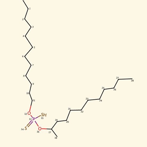 CCCCCCCCCCCCOP(=S)(S)OC(C)CCCCCCCCCC